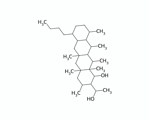 CCCCC1CCC(C)C2C(C)C3C(C)C4(C)C(O)C(C(C)O)C(C)CC4(C)CC3(C)CC12